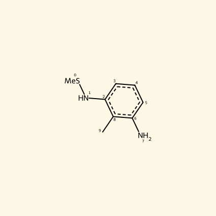 CSNc1cccc(N)c1C